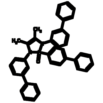 CC1=C(C)N(c2cccc(-c3ccccc3)c2)P(=O)(c2ccc(-c3ccccc3)cc2)N1c1cccc(-c2ccccc2)c1